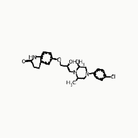 CC1CN(c2ccc(Cl)cc2)CC(C)N1CC(O)COc1ccc2c(c1)CCC(=O)N2